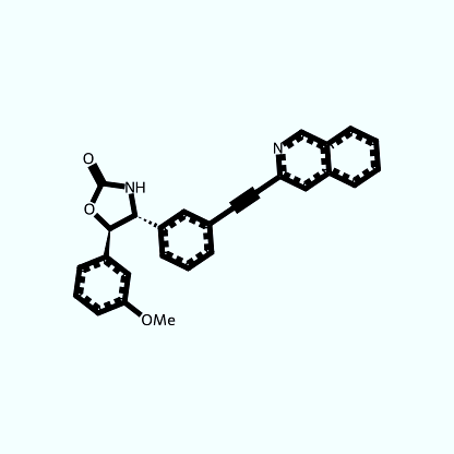 COc1cccc([C@H]2OC(=O)N[C@@H]2c2cccc(C#Cc3cc4ccccc4cn3)c2)c1